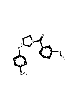 COc1ccc(O[C@@H]2CCN(C(=O)c3cccc(OC(F)(F)F)c3)C2)cc1